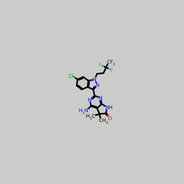 CC1(C)C(=O)Nc2nc(-c3nn(CCC(F)(F)C(F)(F)F)c4cc(Cl)ccc34)nc(N)c21